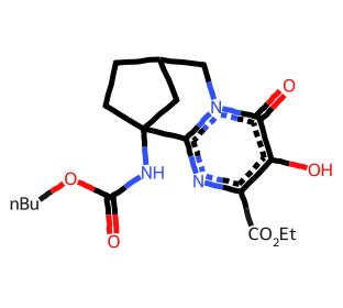 CCCCOC(=O)NC12CCC(Cn3c1nc(C(=O)OCC)c(O)c3=O)C2